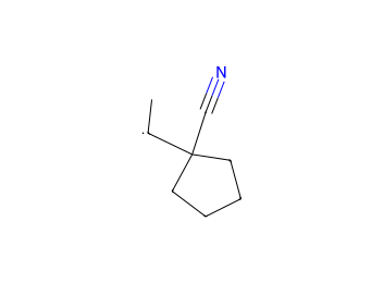 C[CH]C1(C#N)CCCC1